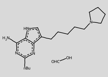 CCCCc1nc(N)c2[nH]cc(CCCCCN3CCCC3)c2n1.O=CO